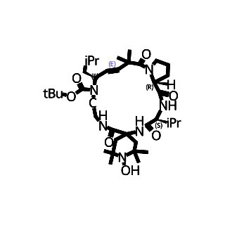 CC(C)C[C@H]1/C=C/C(C)(C)C(=O)N2CCC[C@@H]2C(=O)N[C@@H](C(C)C)C(=O)NC2(CC(C)(C)N(O)C(C)(C)C2)C(=O)NCCN1C(=O)OC(C)(C)C